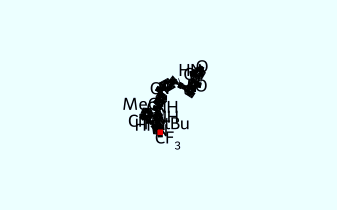 COc1cc(C(=O)N2CCC3(CC2)C[C@H]3C#Cc2cccc3c2CN([C@H]2CCC(=O)NC2=O)C3=O)ccc1NC(=O)[C@@H]1N[C@@H](CC(C)(C)C)[C@@]2(CNc3cc(C(F)(F)F)ncc32)[C@H]1c1cccc(Cl)c1F